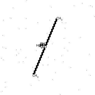 CCCCCCCCCCCCCCCCCCCCCCOCCCCCCCCCCCCCCCCCCCCCC.O.O=P(O)(O)O